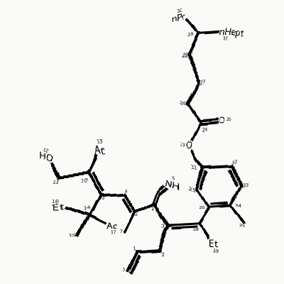 C=CC/C(C(=N)/C(C)=C/C(=C(/CO)C(C)=O)C(C)(CC)C(C)=O)=C(\CC)c1cc(OC(=O)CCCC(CCC)CCCCCCC)ccc1C